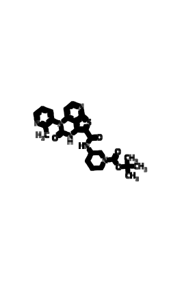 Cc1ncccc1N1C(=O)Nc2c(C(=O)NC3CCCN(C(=O)OC(C)(C)C)C3)sc3nccc1c23